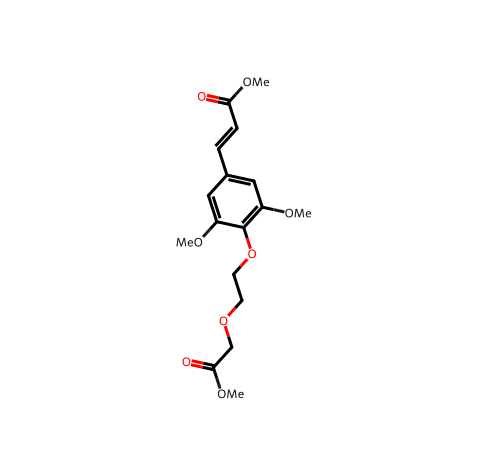 COC(=O)/C=C/c1cc(OC)c(OCCOCC(=O)OC)c(OC)c1